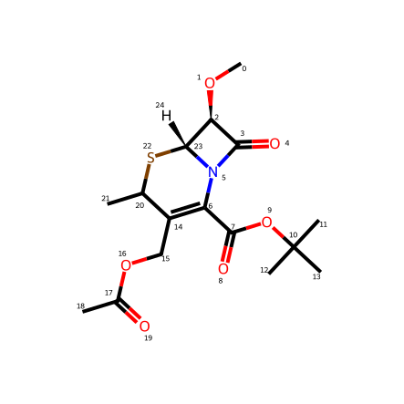 CO[C@H]1C(=O)N2C(C(=O)OC(C)(C)C)=C(COC(C)=O)C(C)S[C@H]12